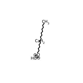 CCCCCCCCCCCCCCCCCOS(=O)(=O)O.[CaH2]